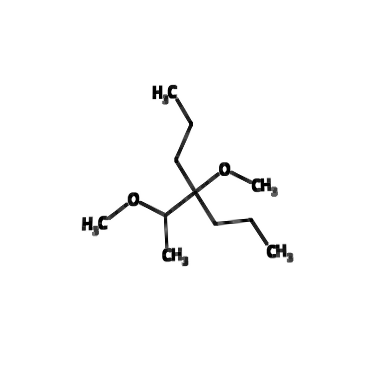 CCCC(CCC)(OC)C(C)OC